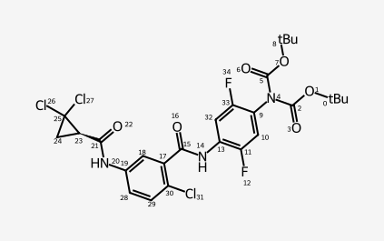 CC(C)(C)OC(=O)N(C(=O)OC(C)(C)C)c1cc(F)c(NC(=O)c2cc(NC(=O)[C@H]3CC3(Cl)Cl)ccc2Cl)cc1F